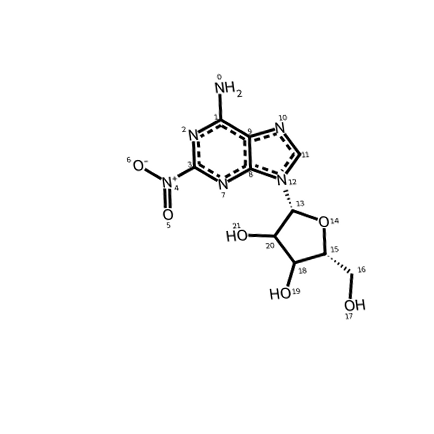 Nc1nc([N+](=O)[O-])nc2c1ncn2[C@@H]1O[C@H](CO)C(O)C1O